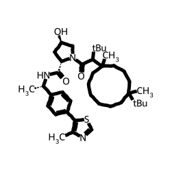 Cc1ncsc1-c1ccc([C@H](C)NC(=O)[C@@H]2C[C@@H](O)CN2C(=O)C(C(C)(C)C)C2(C)CCCCCCC(C)(C(C)(C)C)CCC2)cc1